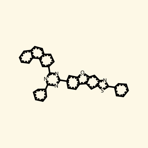 c1ccc(-c2nc(-c3ccc4c(c3)oc3cc5nc(-c6ccccc6)sc5cc34)nc(-c3ccc4ccc5ccccc5c4c3)n2)cc1